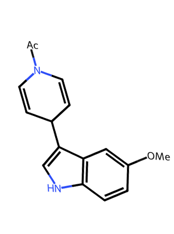 COc1ccc2[nH]cc(C3C=CN(C(C)=O)C=C3)c2c1